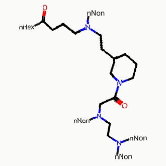 CCCCCCCCCN(CCCC(=O)CCCCCC)CCC1CCCN(C(=O)CN(CCCCCCCCC)CCN(CCCCCCCCC)CCCCCCCCC)C1